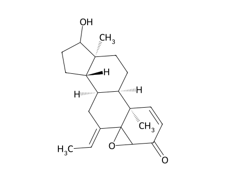 CC=C1C[C@@H]2[C@@H](CC[C@]3(C)C(O)CC[C@@H]23)[C@@]2(C)C=CC(=O)C3OC132